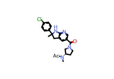 CC(=O)N(C)[C@H]1CCN(C(=O)c2cnc3c(c2)CC(C)(c2ccc(Cl)cc2)N3)C1